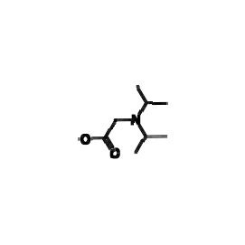 CC(C)N(CC([O])=O)C(C)C